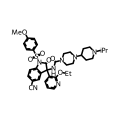 CCOc1ncccc1C1(NC(=O)N2CCN(C3CCN(C(C)C)CC3)CC2)C(=O)N(S(=O)(=O)c2ccc(OC)cc2)c2ccc(C#N)cc21